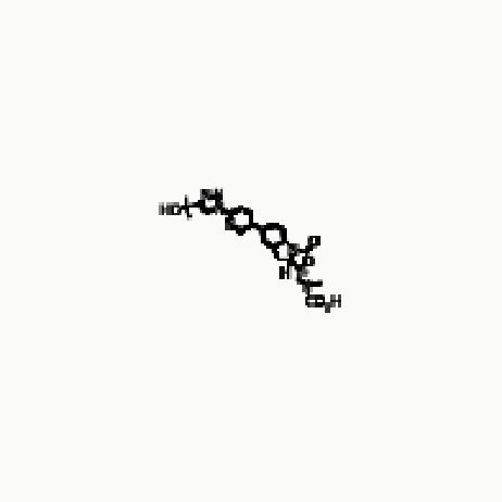 CN(C[C@@H]1OC(=O)N2c3ccc(-c4ccc(-n5cc(C(C)(C)O)nn5)nc4)cc3C[C@@H]12)C(=O)O